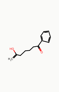 C=C(O)CCCCC(=O)c1ccccc1